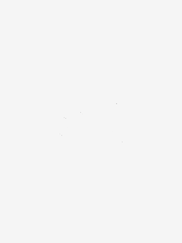 CP(=O)(O)COC(CO)Cn1ccc(N)nc1=O